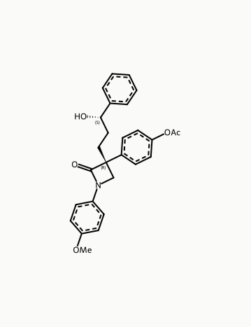 COc1ccc(N2C[C@@](CC[C@H](O)c3ccccc3)(c3ccc(OC(C)=O)cc3)C2=O)cc1